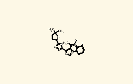 Cc1c2c(-c3noc(C4CCC(C)(C)O4)n3)ncn2c2cccc(F)c2[n+]1[O-]